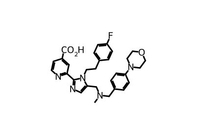 CN(Cc1ccc(N2CCOCC2)cc1)Cc1cnc(-c2cc(C(=O)O)ccn2)n1CCc1ccc(F)cc1